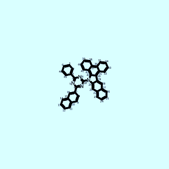 c1ccc(-c2nc(-c3ccc4ccccc4c3)nc(-n3c4cc5ccccc5cc4c4c5ccccc5c5ccccc5c43)n2)cc1